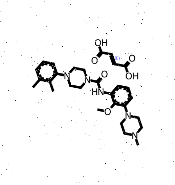 COc1c(NC(=O)N2CCN(c3cccc(C)c3C)CC2)cccc1N1CCN(C)CC1.O=C(O)/C=C/C(=O)O